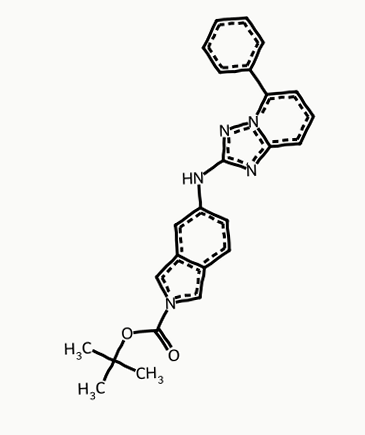 CC(C)(C)OC(=O)n1cc2ccc(Nc3nc4cccc(-c5ccccc5)n4n3)cc2c1